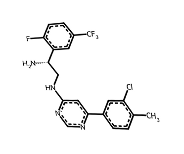 Cc1ccc(-c2cc(NC[C@H](N)c3cc(C(F)(F)F)ccc3F)ncn2)cc1Cl